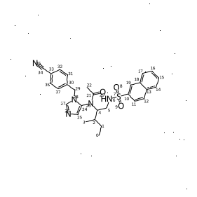 CCC(C)C(CNS(=O)(=O)c1ccc2ccccc2c1)N(C(C)=O)c1cncn1Cc1ccc(C#N)cc1